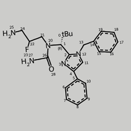 CC(C)(C)[C@H](c1nc(-c2ccccc2)cn1Cc1ccccc1)N(CC(F)CN)C(N)=O